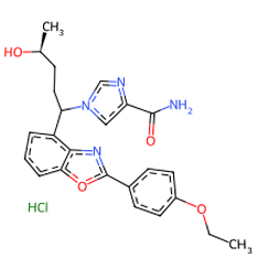 CCOc1ccc(-c2nc3c(C(CC[C@H](C)O)n4cnc(C(N)=O)c4)cccc3o2)cc1.Cl